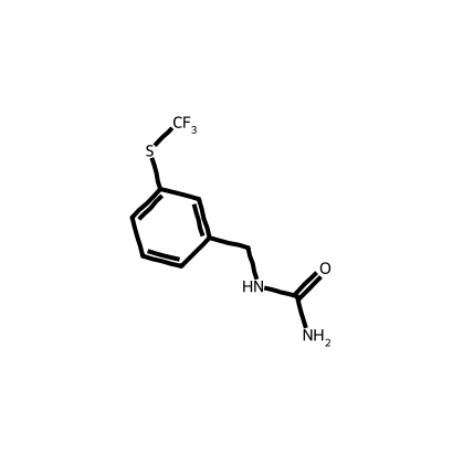 NC(=O)NCc1cccc(SC(F)(F)F)c1